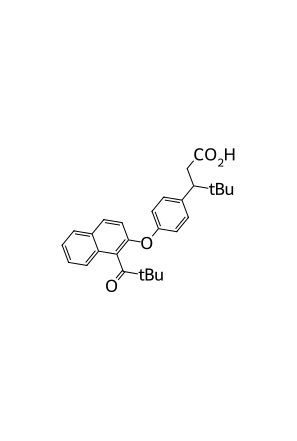 CC(C)(C)C(=O)c1c(Oc2ccc(C(CC(=O)O)C(C)(C)C)cc2)ccc2ccccc12